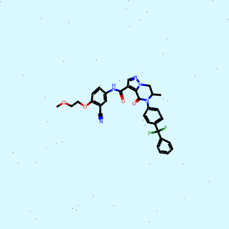 COCCOc1ccc(NC(=O)c2cnn3c2C(=O)N(c2ccc(C(F)(F)c4ccccc4)cc2)C(C)C3)cc1C#N